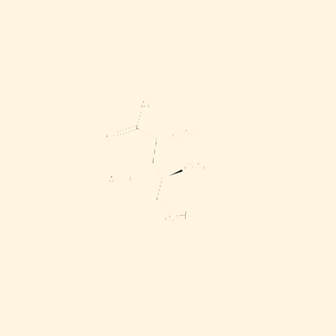 CC(=O)O[C@@H]([C@H](CO)OC(C)=O)[C@@H](OC(C)=O)C(=O)C(C)=O